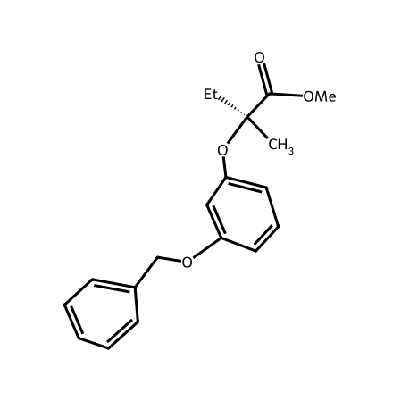 CC[C@](C)(Oc1cccc(OCc2ccccc2)c1)C(=O)OC